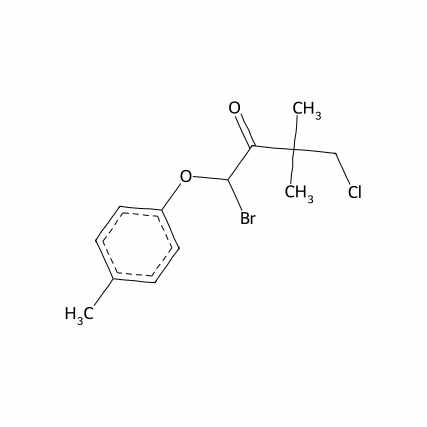 Cc1ccc(OC(Br)C(=O)C(C)(C)CCl)cc1